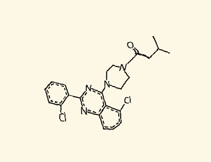 CC(C)CC(=O)N1CCN(c2nc(-c3ccccc3Cl)nc3cccc(Cl)c23)CC1